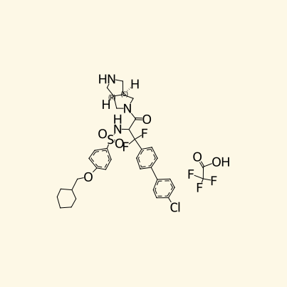 O=C(C(NS(=O)(=O)c1ccc(OCC2CCCCC2)cc1)C(F)(F)c1ccc(-c2ccc(Cl)cc2)cc1)N1C[C@H]2CNC[C@H]2C1.O=C(O)C(F)(F)F